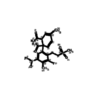 CC[S+]([O-])c1cc(C2(C(N)=O)C=CC(C)=CC2C(N)=O)c(CCS(C)(=O)=O)c(F)c1C